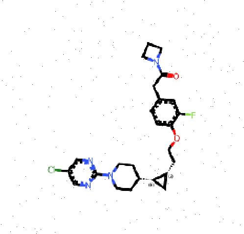 O=C(Cc1ccc(OCC[C@@H]2C[C@@H]2C2CCN(c3ncc(Cl)cn3)CC2)c(F)c1)N1CCC1